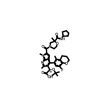 Cc1nc2c(cc(C(=O)N3CCOC(C)(C(=O)NC4CCCC4)C3)n2C)c(-c2cc(F)c3c(c2C)CCCO3)c1[C@H](OC(C)(C)C)C(=O)O